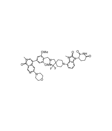 COc1cc(-c2cn(C)c(=O)c3cnc(N4CCOCC4)cc23)cc(OC)c1CN1CC(F)(F)C2(CCN(c3cccc4c3n(C)c(=O)n4C3CCC(=O)NC3=O)CC2)C1